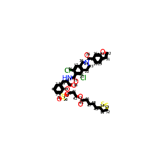 CS(=O)(=O)c1cccc(CC(NC(=O)c2c(Cl)cc3c(c2Cl)CCN(C(=O)c2ccc4ccoc4c2)C3)C(=O)OCCCOC(=O)CCCCC2CCSS2)c1